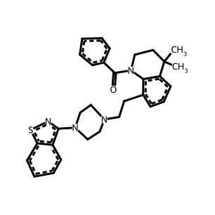 CC1(C)CCN(C(=O)c2ccccc2)c2c(CCN3CCN(c4nsc5ccccc45)CC3)cccc21